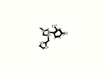 CN1CN(CC2OCCO2)N(c2ccc(Cl)cc2Cl)C1